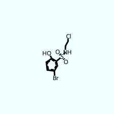 O=S(=O)(NCCCl)c1cc(Br)ccc1O